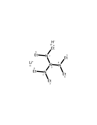 CC[N](CC)[Al]([N](CC)CC)[N](CC)CC.[H-].[Li+]